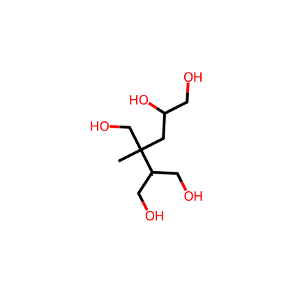 CC(CO)(CC(O)CO)[C](CO)CO